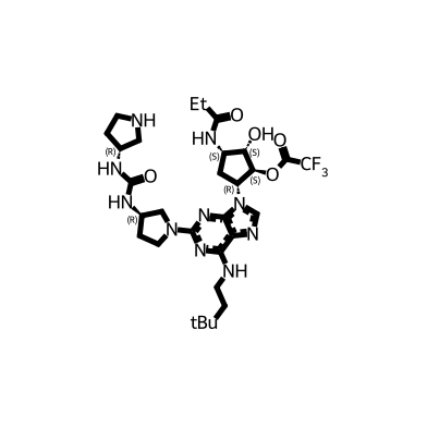 CCC(=O)N[C@H]1C[C@@H](n2cnc3c(NCCC(C)(C)C)nc(N4CC[C@@H](NC(=O)N[C@@H]5CCNC5)C4)nc32)[C@H](OC(=O)C(F)(F)F)[C@H]1O